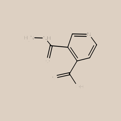 NNC(=O)c1cnccc1C(=O)O